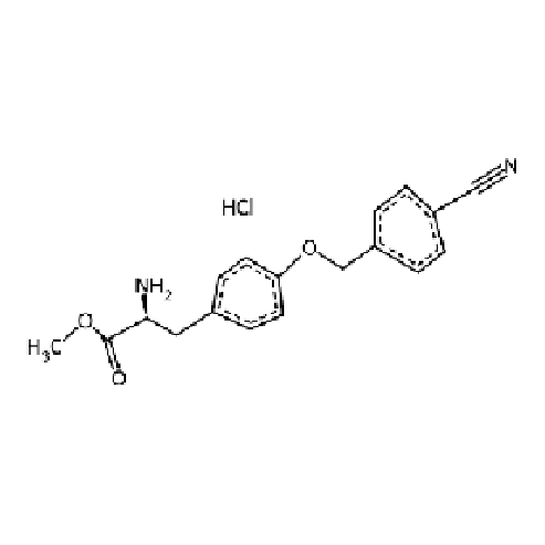 COC(=O)[C@@H](N)Cc1ccc(OCc2ccc(C#N)cc2)cc1.Cl